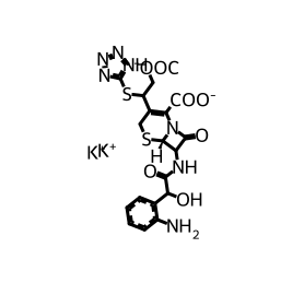 Nc1ccccc1C(O)C(=O)NC1C(=O)N2C(C(=O)[O-])=C(C(CC(=O)[O-])Sc3nnn[nH]3)CS[C@@H]12.[K+].[K+]